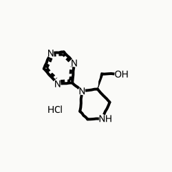 Cl.OC[C@H]1CNCCN1c1ncncn1